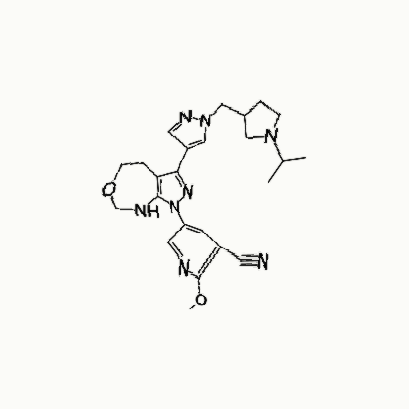 COc1ncc(-n2nc(-c3cnn(CC4CCN(C(C)C)C4)c3)c3c2NCOCC3)cc1C#N